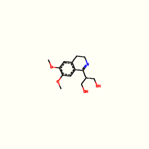 COc1cc2c(cc1OC)C(C(CO)CO)=NCC2